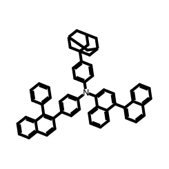 c1ccc(-c2c(-c3ccc(N(c4ccc(C56CC7CC(CC(C7)C5)C6)cc4)c4ccc(-c5cccc6ccccc56)c5ccccc45)cc3)ccc3ccccc23)cc1